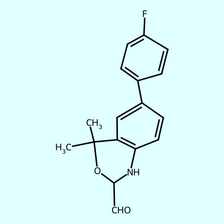 CC1(C)OC(C=O)Nc2ccc(-c3ccc(F)cc3)cc21